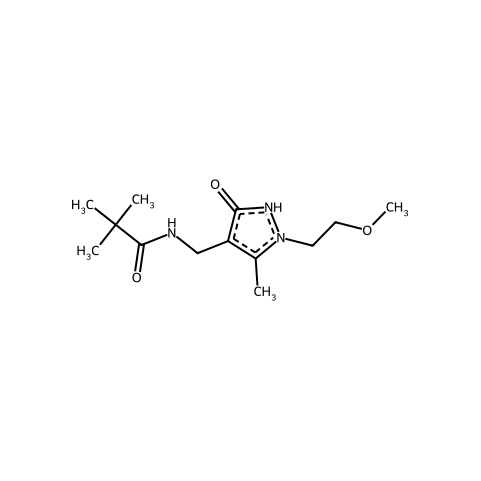 COCCn1[nH]c(=O)c(CNC(=O)C(C)(C)C)c1C